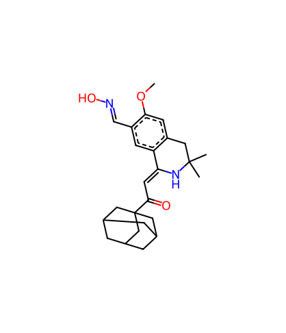 COc1cc2c(cc1C=NO)C(=CC(=O)C13CC4CC(CC(C4)C1)C3)NC(C)(C)C2